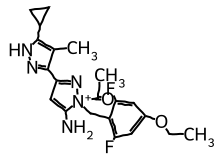 CCOc1cc(F)c(C[N+]2(C(C)=O)N=C(c3n[nH]c(C4CC4)c3C)C=C2N)c(F)c1